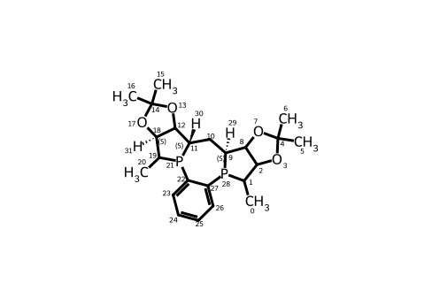 CC1C2OC(C)(C)OC2[C@@H]2C[C@H]3C4OC(C)(C)O[C@@H]4C(C)P3c3ccccc3P12